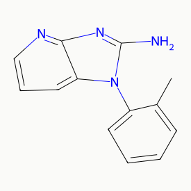 Cc1ccccc1-n1c(N)nc2ncccc21